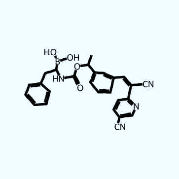 CC(OC(=O)NC(Cc1ccccc1)B(O)O)c1cccc(C=C(C#N)c2ccc(C#N)cn2)c1